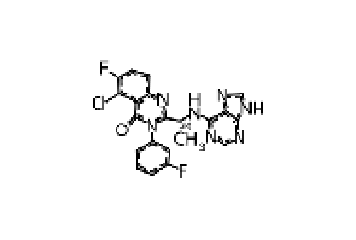 C[C@@H](Nc1ncnc2[nH]cnc12)c1nc2ccc(F)c(Cl)c2c(=O)n1-c1cccc(F)c1